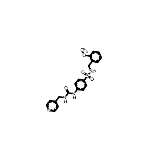 O=C(NCc1ccncc1)Nc1ccc(S(=O)(=O)NCc2ccccc2OC(F)(F)F)cc1